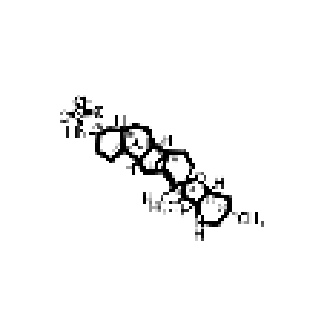 CC1=C2C[C@H]3[C@@H](CC[C@@H]4C[C@@H](NS(C)(=O)=O)CC[C@@]43C)[C@@H]2CC[C@]12O[C@@H]1C[C@H](C)CN[C@H]1[C@H]2C